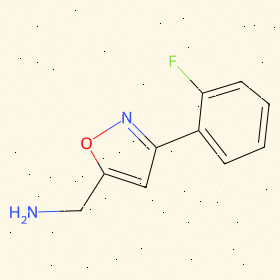 NCc1cc(-c2ccccc2F)no1